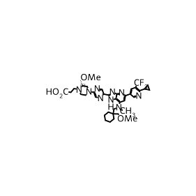 COC[C@@H]1CN(c2cnc(-c3nc4nc(-c5cnc(C6CC6)c(C(F)(F)F)c5)cc(N(C)CC5(COC)CCCCC5)c4[nH]3)cn2)CCN1CCC(=O)O